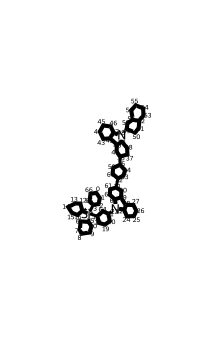 c1ccc([Si](c2ccccc2)(c2ccccc2)c2cccc(-n3c4ccccc4c4cc(-c5ccc(-c6ccc7c(c6)c6ccccc6n7-c6ccc7ccccc7c6)cc5)ccc43)c2)cc1